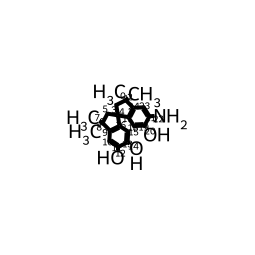 CC1(C)CC2(CC(C)(C)c3cc(O)c(O)cc32)c2cc(O)c(N)cc21